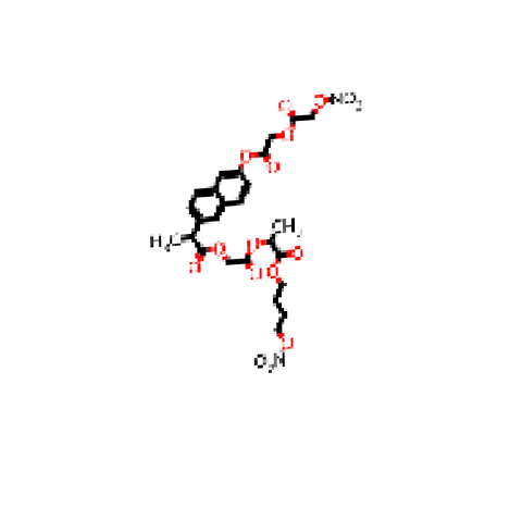 CC(OC(=O)COC(=O)C(C)c1ccc2cc(OC(=O)COC(=O)CO[N+](=O)[O-])ccc2c1)C(=O)OCCCCO[N+](=O)[O-]